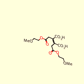 COCCOC(=O)CC(C(=O)O)=C(CC(=O)OCCOC)C(=O)O